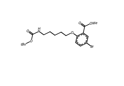 COC(=O)c1cc(Br)ccc1OCCCCCNC(=O)OC(C)(C)C